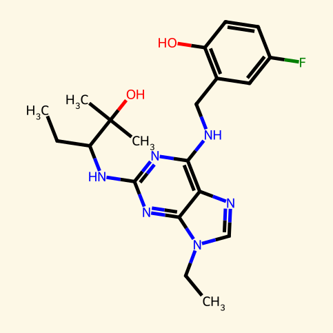 CCC(Nc1nc(NCc2cc(F)ccc2O)c2ncn(CC)c2n1)C(C)(C)O